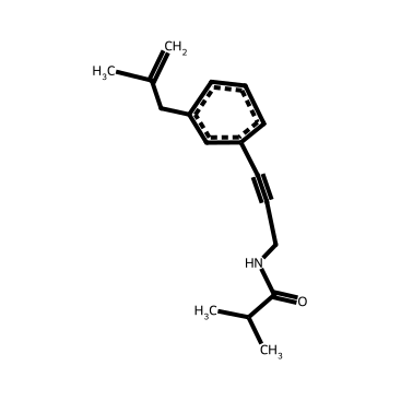 C=C(C)Cc1cccc(C#CCNC(=O)C(C)C)c1